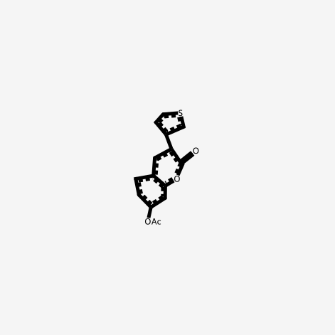 CC(=O)Oc1ccc2cc(-c3ccsc3)c(=O)oc2c1